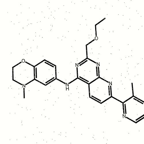 CCOCc1nc(Nc2ccc3c(c2)N(C)CCO3)c2ccc(-c3ncccc3C)nc2n1